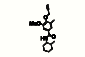 C#CCOc1c(C)cc(C(=O)NC2CCCCC2C)cc1OC